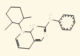 CC1CCCC(C)C1N1C=CCC2=CN=C(Nc3ccccc3)NC21